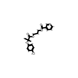 CC(C)(Oc1ccc(Cl)cc1)C(=O)OCCCOC(=O)c1cccnc1